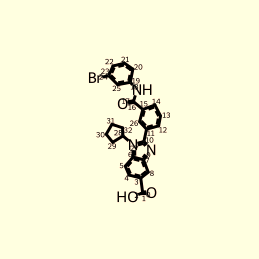 O=C(O)c1ccc2c(c1)nc(-c1cccc(C(=O)Nc3cccc(Br)c3)c1)n2C1CCCC1